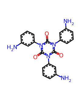 Nc1cccc(-n2c(=O)n(-c3cccc(N)c3)c(=O)n(-c3cccc(N)c3)c2=O)c1